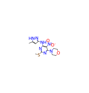 CSc1nc(Nc2cc(C)[nH]n2)c([N+](=O)[O-])c(N2CCOCC2)n1